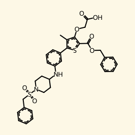 Cc1c(-c2cccc(NC3CCN(S(=O)(=O)Cc4ccccc4)CC3)c2)sc(C(=O)OCc2ccccc2)c1OCC(=O)O